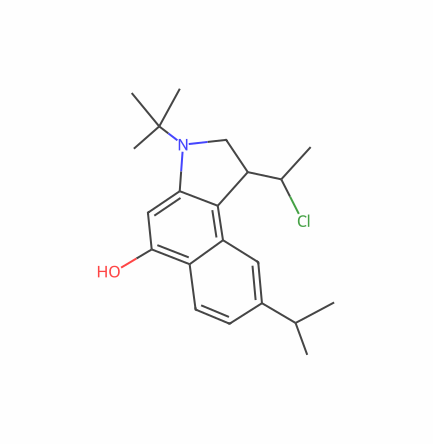 CC(C)c1ccc2c(O)cc3c(c2c1)C(C(C)Cl)CN3C(C)(C)C